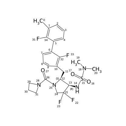 Cc1cccc(-c2cccc(C[C@H]3[C@@H](NS(=O)(=O)N(C)C)C(F)(F)CN3C(=O)N3CCC3)c2F)c1F